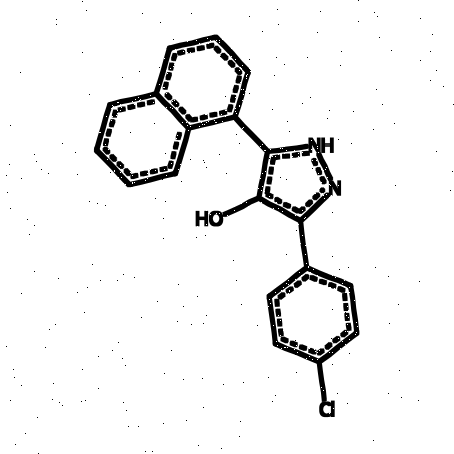 Oc1c(-c2ccc(Cl)cc2)n[nH]c1-c1cccc2ccccc12